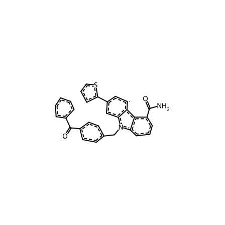 NC(=O)c1cccc2c1c1[c]cc(-c3cccs3)cc1n2Cc1ccc(C(=O)c2ccccc2)cc1